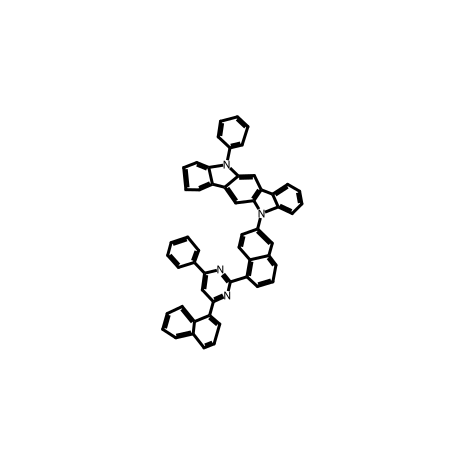 c1ccc(-c2cc(-c3cccc4ccccc34)nc(-c3cccc4cc(-n5c6ccccc6c6cc7c(cc65)c5ccccc5n7-c5ccccc5)ccc34)n2)cc1